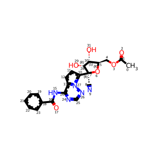 CC(=O)OC[C@H]1O[C@@](C#N)(c2ccc3c(NC(=O)c4ccccc4)ncnn23)[C@H](O)[C@@H]1O